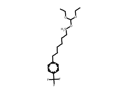 CCOC(OCC)O[SiH2]CCCCCCc1ccc(C(F)(F)F)cc1